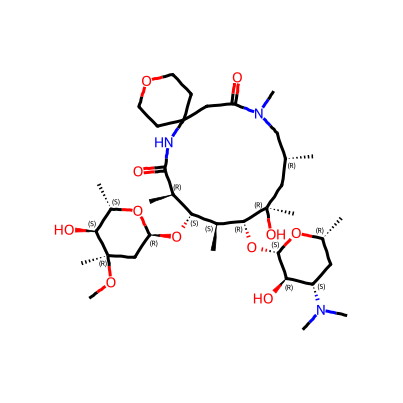 CO[C@]1(C)C[C@H](O[C@H]2[C@H](C)[C@@H](O[C@@H]3O[C@H](C)C[C@H](N(C)C)[C@H]3O)[C@](C)(O)C[C@@H](C)CN(C)C(=O)CC3(CCOCC3)NC(=O)[C@@H]2C)O[C@@H](C)[C@@H]1O